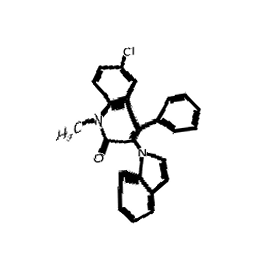 Cn1c(=O)c(-n2ccc3ccccc32)c(-c2ccccc2)c2cc(Cl)ccc21